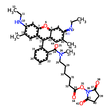 CC/N=c1\cc2oc3cc(NCC)c(C)cc3c(-c3ccccc3C(=O)N(C)CCCCCC(=O)ON3C(=O)CCC3=O)c-2cc1C